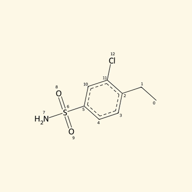 CCc1ccc(S(N)(=O)=O)cc1Cl